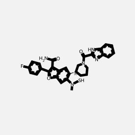 CN(S)c1cc2oc(-c3ccc(F)cc3)c(C(N)=O)c2cc1[C@H]1CCCN(C(=O)c2nc3ccccc3[nH]2)C1